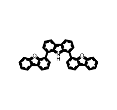 c1ccc2c(c1)oc1c(-c3cccc4c3[nH]c3c(-c5cccc6c5oc5ccccc56)cccc34)cccc12